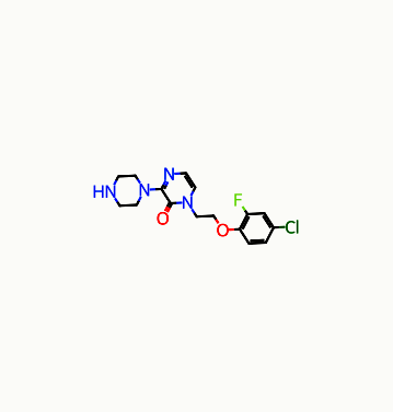 O=c1c(N2CCNCC2)nccn1CCOc1ccc(Cl)cc1F